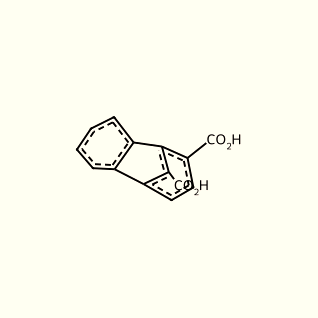 O=C(O)c1ccc2c(C(=O)O)c1-c1ccccc1-2